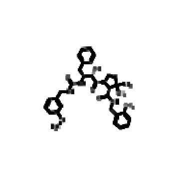 COc1cccc(CNC(=O)N[C@@H](Cc2ccccc2)[C@H](O)C(=O)N2CSC(C)(C)[C@H]2C(=O)NCc2ccccc2C)c1